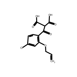 C=CCOc1cc(Cl)ccc1C(=O)C(C(=O)O)C(=O)O